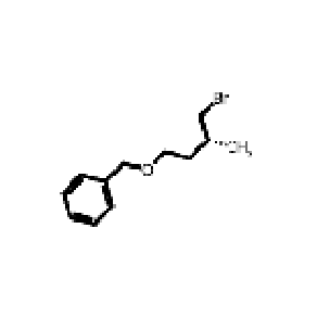 C[C@@H](CBr)CCOCc1ccccc1